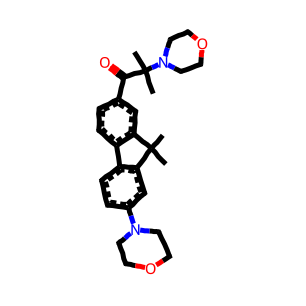 CC1(C)c2cc(C(=O)C(C)(C)N3CCOCC3)ccc2-c2ccc(N3CCOCC3)cc21